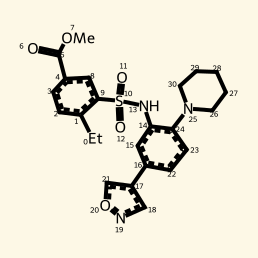 CCc1ccc(C(=O)OC)cc1S(=O)(=O)Nc1cc(-c2cnoc2)ccc1N1CCCCC1